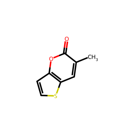 Cc1cc2sccc2oc1=O